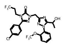 CC(O)c1nc(Cn2nc(-c3ccc(Cl)cc3)n(CCC(F)(F)F)c2=O)nn1-c1ccccc1OC(F)(F)F